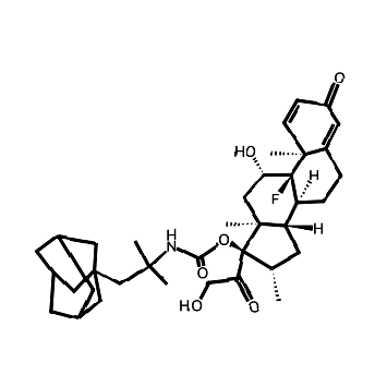 C[C@H]1C[C@H]2[C@@H]3CCC4=CC(=O)C=C[C@]4(C)[C@@]3(F)[C@@H](O)C[C@]2(C)[C@@]1(OC(=O)NC(C)(C)CC12CC3CC(CC(C3)C1)C2)C(=O)CO